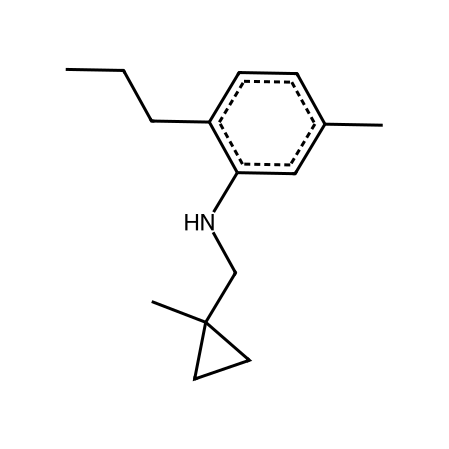 CCCc1ccc(C)cc1NCC1(C)CC1